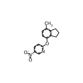 Cc1ccc(Oc2ccc([N+](=O)[O-])cn2)c2c1CCC2